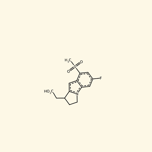 CS(=O)(=O)c1cc(F)cc2c1cc1n2CCC1CC(=O)O